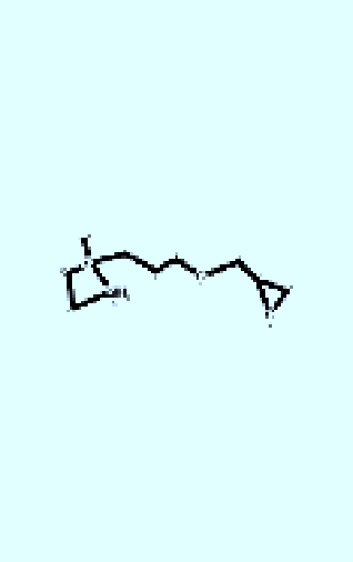 C[Si]1(CCCOCC2CO2)CC[SiH2]1